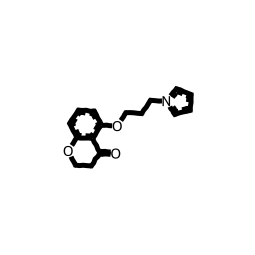 O=C1CCOc2cccc(OCCCn3cccc3)c21